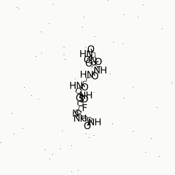 C=C(NCC(=O)NCCCCC(=O)Nc1cccc(NS(=O)(=O)c2ccc(-c3cnc(N)c(-c4ccc5c(c4)CCNC5=O)c3)c(F)c2)c1)C1=C(C)C(=O)N(C2CCC(=O)NC2=O)C1=O